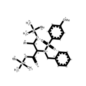 COc1ccc(S(=O)(=O)N(Cc2ccccc2)C(C(=O)O[Si](C)(C)C(C)(C)C)C(O[Si](C)(C)C(C)(C)C)C(C)C)cc1